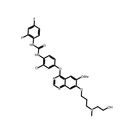 COc1cc2c(Oc3ccc(NC(=O)Nc4ccc(F)cc4F)c(Cl)c3)ncnc2cc1OCCCN(C)CCO